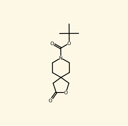 CC(C)(C)OC(=O)N1CCC2(CC1)COC(=O)C2